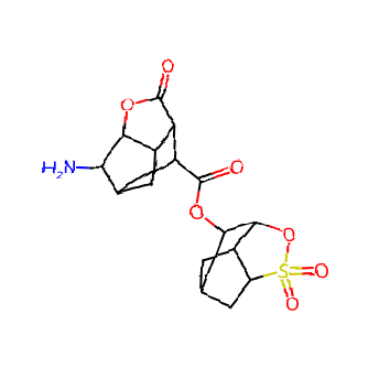 NC1C2CC3C1OC(=O)C3C2C(=O)OC1C2CC3C1OS(=O)(=O)C3C2